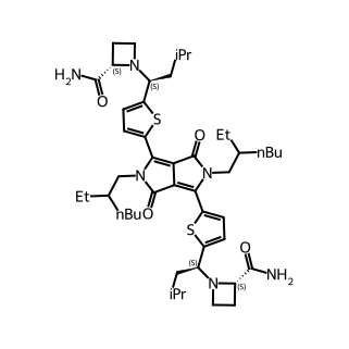 CCCCC(CC)CN1C(=O)C2=C(c3ccc([C@H](CC(C)C)N4CC[C@H]4C(N)=O)s3)N(CC(CC)CCCC)C(=O)C2=C1c1ccc([C@H](CC(C)C)N2CC[C@H]2C(N)=O)s1